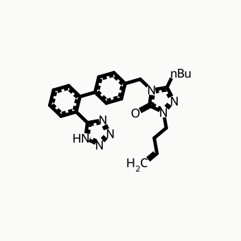 C=CCCn1nc(CCCC)n(Cc2ccc(-c3ccccc3-c3nnn[nH]3)cc2)c1=O